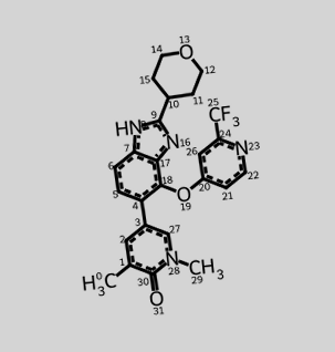 Cc1cc(-c2ccc3[nH]c(C4CCOCC4)nc3c2Oc2ccnc(C(F)(F)F)c2)cn(C)c1=O